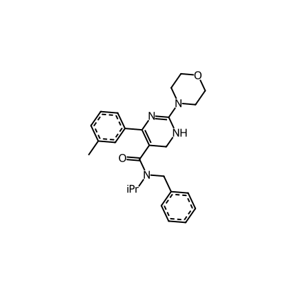 Cc1cccc(C2=C(C(=O)N(Cc3ccccc3)C(C)C)CNC(N3CCOCC3)=N2)c1